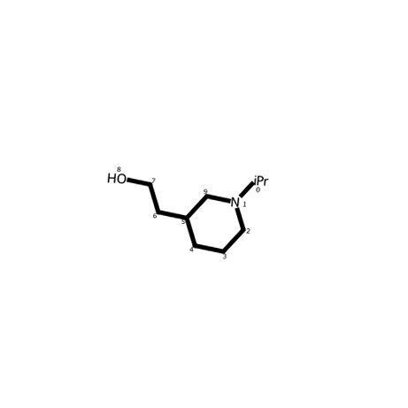 CC(C)N1CCCC(CCO)C1